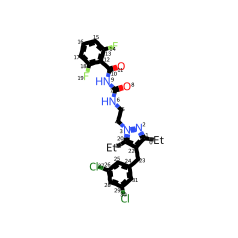 CCc1nn(CCNC(=O)NC(=O)c2c(F)cccc2F)c(CC)c1Cc1cc(Cl)cc(Cl)c1